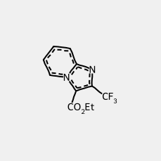 CCOC(=O)c1c(C(F)(F)F)nc2ccccn12